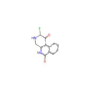 O=C1c2c([nH]c(=O)c3ccccc23)CNC1F